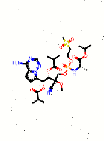 COC(C#N)(COP(=O)(N[C@@H](C)C(=O)OC(C)C)OCCS(C)(=O)=O)[C@@H](OC(=O)C(C)C)[C@@H](OC(=O)C(C)C)c1ccc2c(N)ncnn12